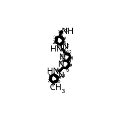 Cc1ccc2[nH]c(-c3ccc4ccc(-c5nc6cc(C=N)ccc6[nH]5)nc4n3)nc2c1